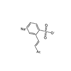 CC(=O)/C=C/c1ccccc1S(=O)(=O)[O-].[Na+]